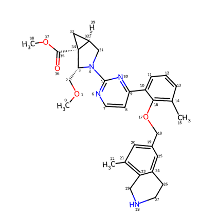 COC[C@H]1N(c2nccc(-c3cccc(C)c3OCc3cc(C)c4c(c3)CCNC4)n2)C[C@@H]2C[C@@]21C(=O)OC